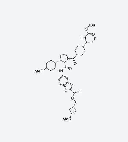 COC1CCC([C@@H]2CCN(C(=O)C3CCC([C@@H](CF)NC(=O)OC(C)(C)C)CC3)[C@@H]2C(=O)Nc2ccc3oc(C(=O)OCC4CC(OC)C4)cc3c2)CC1